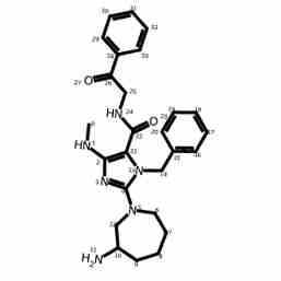 CNc1nc(N2CCCCC(N)C2)n(Cc2ccccc2)c1C(=O)NCC(=O)c1ccccc1